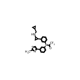 Cc1nc(-c2cccc(N(C(=O)C(F)(F)F)c3cccc(C4CC4NCC4CC4)c3)c2)cs1